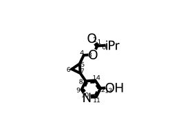 CC(C)C(=O)OCC1CC1c1cncc(O)c1